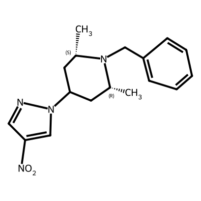 C[C@@H]1CC(n2cc([N+](=O)[O-])cn2)C[C@H](C)N1Cc1ccccc1